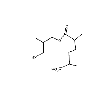 CC(CS)COC(=O)C(C)CCC(C)C(=O)O